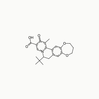 Cc1c2n(cc(C(=O)O)c1=O)C(C(C)(C)C)Cc1cc3c(cc1-2)OCCCO3